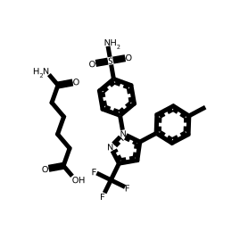 Cc1ccc(-c2cc(C(F)(F)F)nn2-c2ccc(S(N)(=O)=O)cc2)cc1.NC(=O)CCCCC(=O)O